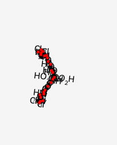 CN1Cc2c(Cl)cc(Cl)cc2[C@H](c2cccc(-c3nnc(CCOCCOCCOCCNC(=O)NCCCC(NC(=O)NCCOCCOCCOCCc4nnc(-c5cccc([C@@H]6CN(C)Cc7c(Cl)cc(Cl)cc76)c5)[nH]4)(C(=O)O)C(=O)O)[nH]3)c2)C1